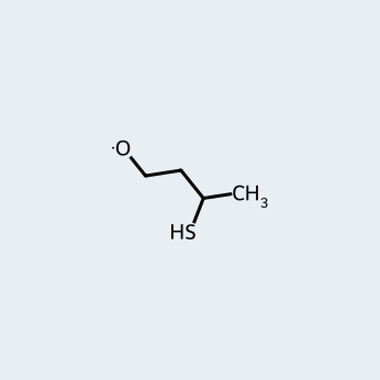 CC(S)CC[O]